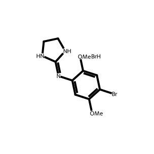 Br.COc1cc(N=C2NCCN2)c(OC)cc1Br